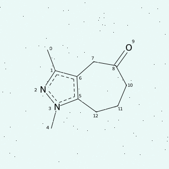 Cc1nn(C)c2c1CC(=O)CCC2